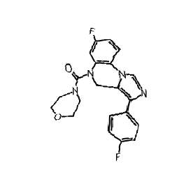 O=C(N1CCOCC1)N1Cc2c(-c3ccc(F)cc3)ncn2-c2ccc(F)cc21